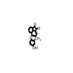 Cc1cc(O)ccc1Oc1ccc2c3c(cccc13)C(=O)C2=O